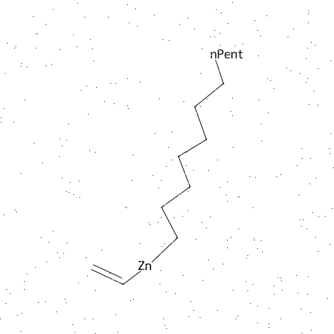 C=[CH][Zn][CH2]CCCCCCCCCCC